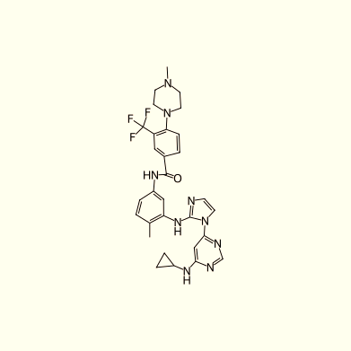 Cc1ccc(NC(=O)c2ccc(N3CCN(C)CC3)c(C(F)(F)F)c2)cc1Nc1nccn1-c1cc(NC2CC2)ncn1